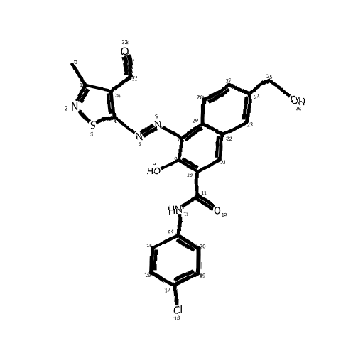 Cc1nsc(/N=N/c2c(O)c(C(=O)Nc3ccc(Cl)cc3)cc3cc(CO)ccc23)c1C=O